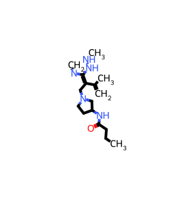 C=N/C(NNC)=C(\CN1CCC(NC(=O)CCC)C1)C(=C)C